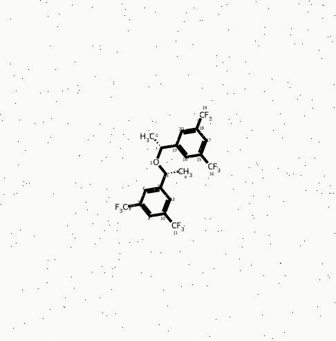 C[C@@H](O[C@H](C)c1cc(C(F)(F)F)cc(C(F)(F)F)c1)c1cc(C(F)(F)F)cc(C(F)(F)F)c1